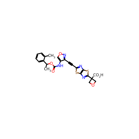 Cc1ccccc1C(C)OC(=O)Nc1conc1C#Cc1nc2sc(C3(C(=O)O)COC3)nc2s1